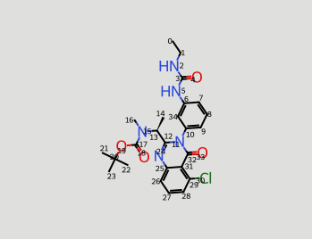 CCNC(=O)Nc1cccc(-n2c([C@H](C)N(C)C(=O)OC(C)(C)C)nc3cccc(Cl)c3c2=O)c1